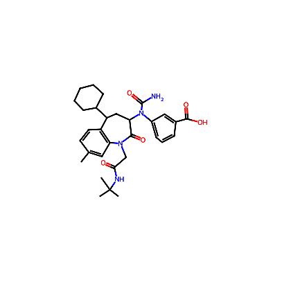 Cc1ccc2c(c1)N(CC(=O)NC(C)(C)C)C(=O)C(N(C(N)=O)c1cccc(C(=O)O)c1)CC2C1CCCCC1